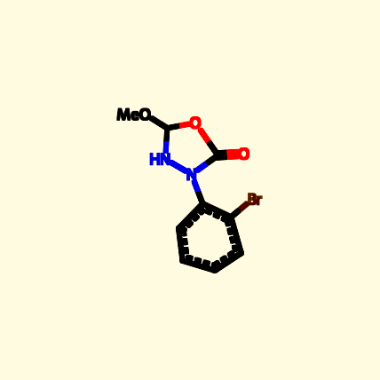 COC1NN(c2ccccc2Br)C(=O)O1